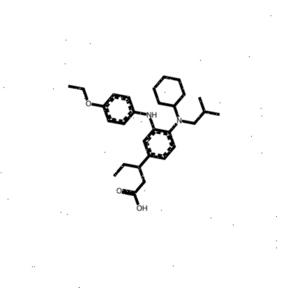 CCOc1ccc(Nc2cc(C(CC)CC(=O)O)ccc2N(CC(C)C)C2CCCCC2)cc1